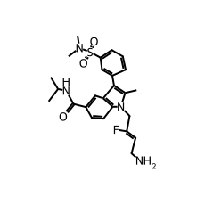 Cc1c(-c2cccc(S(=O)(=O)N(C)C)c2)c2cc(C(=O)NC(C)C)ccc2n1CC(F)=CCN